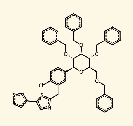 Clc1ccc([C@@H]2O[C@H](COCc3ccccc3)[C@@H](OCc3ccccc3)[C@H](OCc3ccccc3)[C@H]2OCc2ccccc2)cc1Cc1ncc(-c2ccsc2)s1